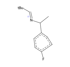 CC(/N=C/C(C)(C)C)c1ccc(F)cc1